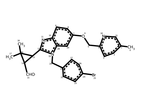 Cc1ccc(COc2ccc3nc(C4C([C]=O)C4(C)C)n(Cc4ccc(Br)cc4)c3c2)nc1